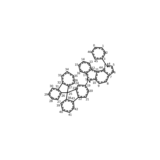 c1ccc(-n2ccc3ccc4c(c5ccccc5n4-c4ccc5c(c4)C4(c6ccccc6-c6ccccc64)c4ccccc4-5)c32)cc1